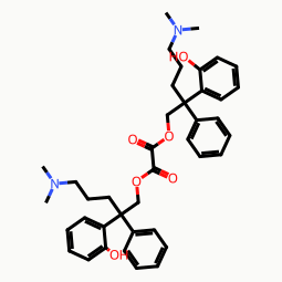 CN(C)CCCC(COC(=O)C(=O)OCC(CCCN(C)C)(c1ccccc1)c1ccccc1O)(c1ccccc1)c1ccccc1O